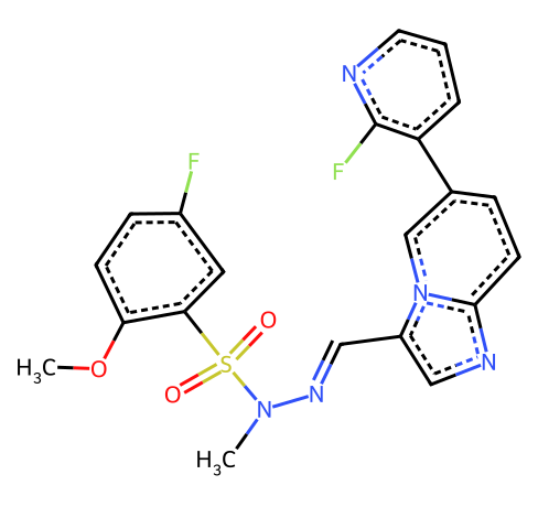 COc1ccc(F)cc1S(=O)(=O)N(C)N=Cc1cnc2ccc(-c3cccnc3F)cn12